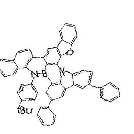 CC(C)(C)c1ccc(N2B3c4c(cc5c(oc6ccccc65)c4-n4c5ccc(-c6ccccc6)cc5c5cc(-c6ccccc6)cc3c54)-c3ccc4ccccc4c32)cc1